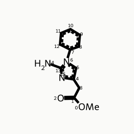 COC(=O)Cc1cn(-c2ccccc2)c(N)n1